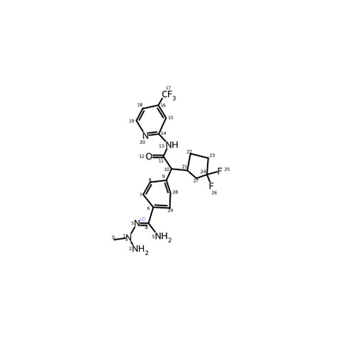 CN(N)/N=C(\N)c1ccc(C(C(=O)Nc2cc(C(F)(F)F)ccn2)C2CCC(F)(F)C2)cc1